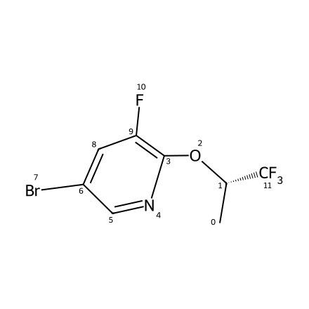 C[C@H](Oc1ncc(Br)cc1F)C(F)(F)F